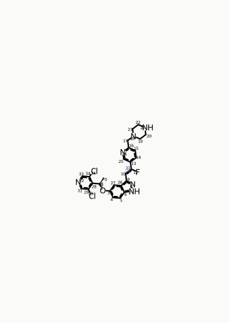 C[C@@H](Oc1ccc2[nH]nc(/C=C(\F)c3ccc(CN4CCNCC4)nc3)c2c1)c1c(Cl)cncc1Cl